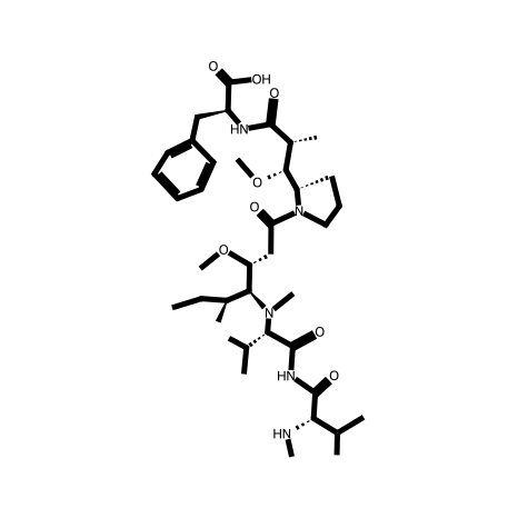 CC[C@H](C)[C@@H]([C@@H](CC(=O)N1CCC[C@H]1[C@H](OC)[C@@H](C)C(=O)N[C@@H](Cc1ccccc1)C(=O)O)OC)N(C)[C@H](C(=O)NC(=O)[C@@H](NC)C(C)C)C(C)C